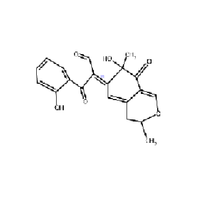 CC1CC2=C/C(=C(/C=O)C(=O)c3ccccc3O)C(C)(O)C(=O)C2=CO1